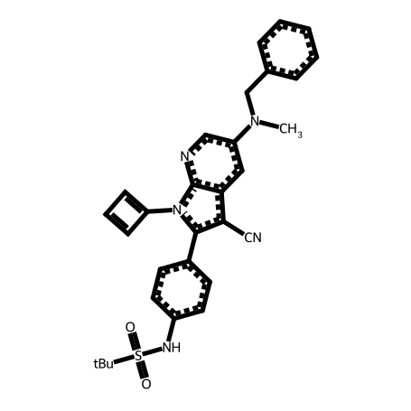 CN(Cc1ccccc1)c1cnc2c(c1)c(C#N)c(-c1ccc(NS(=O)(=O)C(C)(C)C)cc1)n2C1=CC=C1